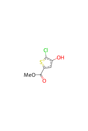 COC(=O)c1cc(O)c(Cl)s1